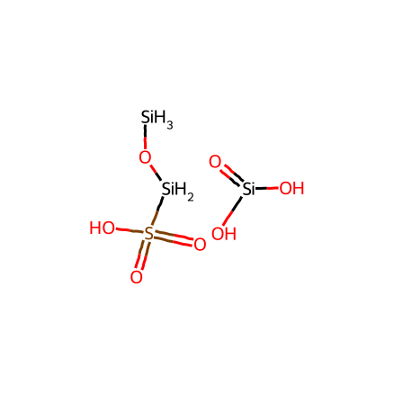 O=S(=O)(O)[SiH2]O[SiH3].O=[Si](O)O